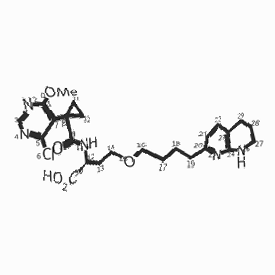 COc1ncnc(Cl)c1C1(C(=O)N[C@@H](CCOCCCCc2ccc3c(n2)NCCC3)C(=O)O)CC1